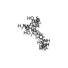 CC1(C)[C@H](NC(=O)/C(=N\O[C@](C)(C(=O)O)[C@H]2CCc3cc(C(=N)N[C@H]4C[C@H]5CC[C@@H](C4)N5)ccc3O2)c2csc(N)n2)C(=O)N1OS(=O)(=O)O